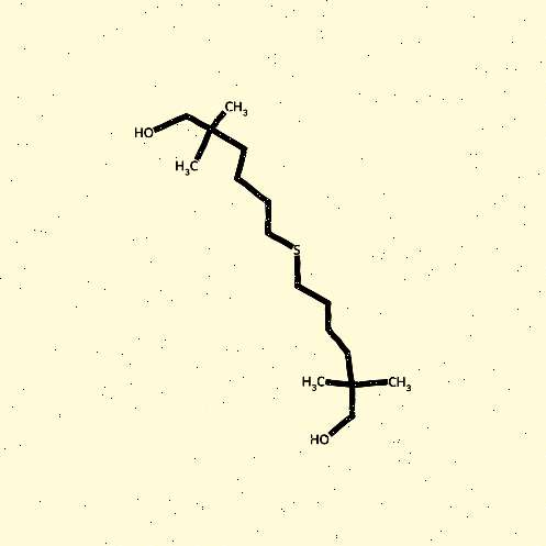 CC(C)(CO)CCCCSCCCCC(C)(C)CO